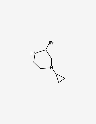 CC(C)C1CN(C2CC2)CCN1